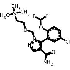 C[Si](C)(C)CCOCn1ncc(C(N)=O)c1-c1cc(Cl)ccc1OC(F)F